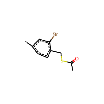 CC(=O)SCc1ccc(C)cc1Br